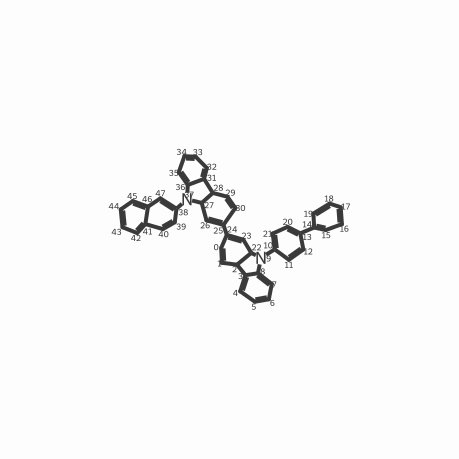 C1=CC2c3ccccc3N(c3ccc(-c4ccccc4)cc3)C2C=C1C1=CC2C(C=C1)c1ccccc1N2c1ccc2ccccc2c1